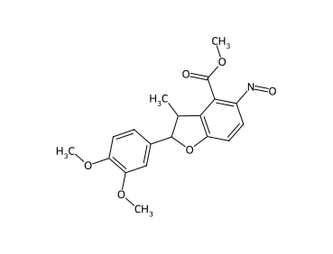 COC(=O)c1c(N=O)ccc2c1C(C)C(c1ccc(OC)c(OC)c1)O2